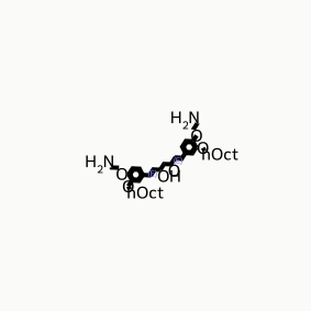 CCCCCCCCOc1cc(/C=C/C(=O)CC(O)/C=C/c2ccc(OCCN)c(OCCCCCCCC)c2)ccc1OCCN